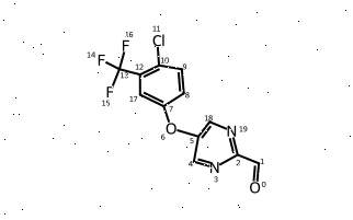 O=Cc1ncc(Oc2ccc(Cl)c(C(F)(F)F)c2)cn1